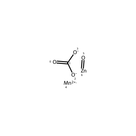 O=C([O-])[O-].[Mn+2].[O]=[Zn]